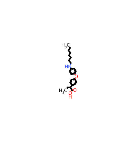 CCCCCCCCNc1ccc(Oc2ccc(C(CC)C(=O)O)cc2)cc1